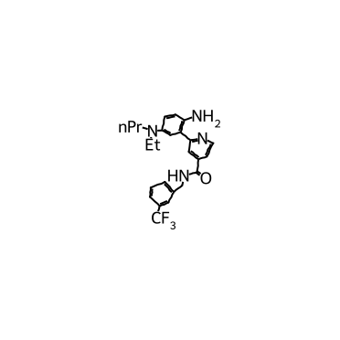 CCCN(CC)c1ccc(N)c(-c2cc(C(=O)NCc3cccc(C(F)(F)F)c3)ccn2)c1